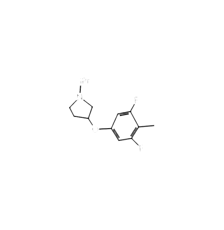 Cc1c(F)cc(OC2CCN(C(C)C)C2)cc1F